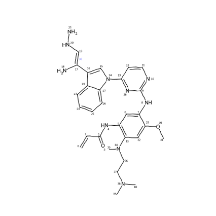 C=CC(=O)Nc1cc(Nc2nccc(-n3cc(/C(N)=C/NN)c4ccccc43)n2)c(OC)cc1N(C)CCN(C)C